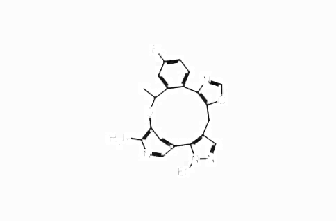 CCn1ncc2c1-c1cnc(N)c(c1)OC(C)c1cc(F)ccc1-c1ncoc1C2